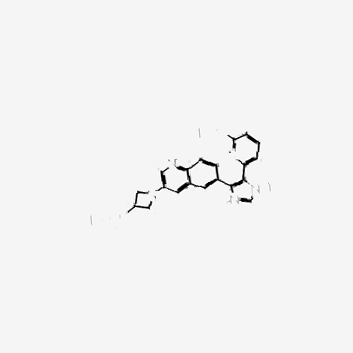 Cc1cccc(-c2[nH]cnc2-c2ccc3ncc(N4CC(C(=O)O)C4)cc3c2)n1